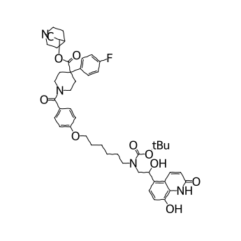 CC(C)(C)OC(=O)N(CCCCCCOc1ccc(C(=O)N2CCC(C(=O)OC3CN4CCC3CC4)(c3ccc(F)cc3)CC2)cc1)CC(O)c1ccc(O)c2[nH]c(=O)ccc12